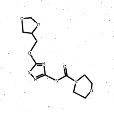 O=C(Sc1nsc(OCC2COCO2)n1)N1CCOCC1